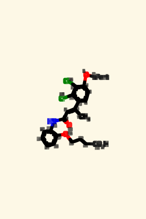 CCCCCOc1ccc(/C(C)=C/C(=O)Nc2ccccc2OCCCC(=O)O)c(Cl)c1Cl